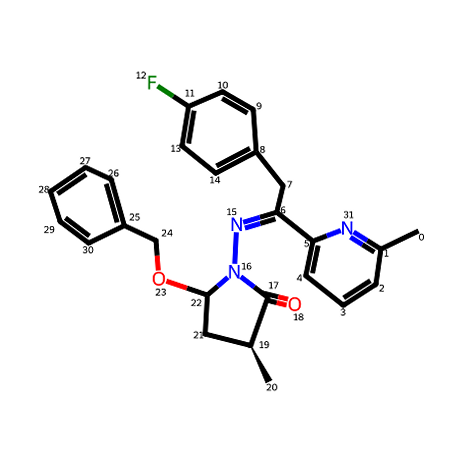 Cc1cccc(C(Cc2ccc(F)cc2)=NN2C(=O)[C@@H](C)CC2OCc2ccccc2)n1